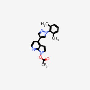 Cc1cccc(C)c1-n1cc(-c2ccnc3c2ccn3OC(=O)C(F)(F)F)cn1